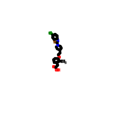 Cc1c(CC(=O)O)cccc1OCCC1CCN(c2nc3ccc(Cl)cc3s2)CC1